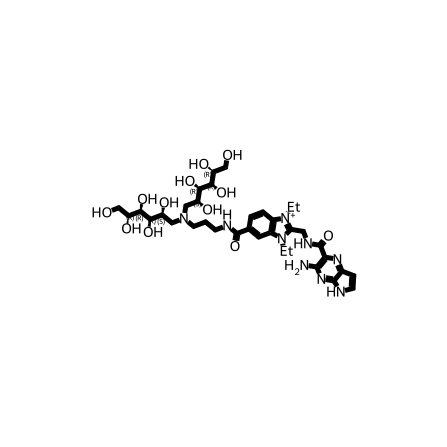 CCn1c(CNC(=O)c2nc3cc[nH]c3nc2N)[n+](CC)c2ccc(C(=O)NCCCN(C[C@H](O)[C@@H](O)[C@H](O)[C@H](O)CO)C[C@H](O)[C@@H](O)[C@H](O)[C@H](O)CO)cc21